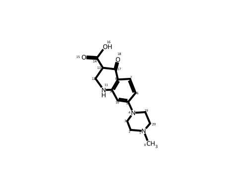 CN1CCN(c2ccc3c(c2)NCC(C(=O)O)C3=O)CC1